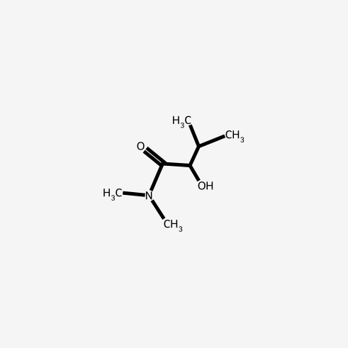 CC(C)C(O)C(=O)N(C)C